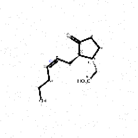 O=C(O)C[C@H]1CCC(=O)[C@@H]1C/C=C\CCO